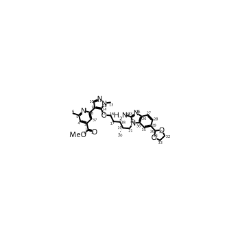 COC(=O)c1cc(C)nc(-c2cnn(C)c2OCCC[C@@H](C)Cn2c(N)nc3ccc(C4OCCO4)cc32)c1